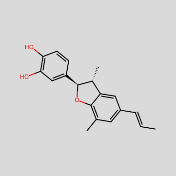 C/C=C/c1cc(C)c2c(c1)[C@@H](C)[C@H](c1ccc(O)c(O)c1)O2